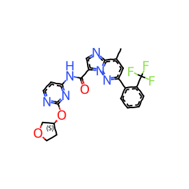 Cc1cc(-c2ccccc2C(F)(F)F)nn2c(C(=O)Nc3ccnc(O[C@H]4CCOC4)n3)cnc12